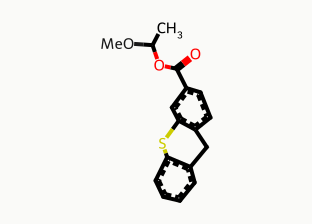 COC(C)OC(=O)c1ccc2c(c1)Sc1ccccc1C2